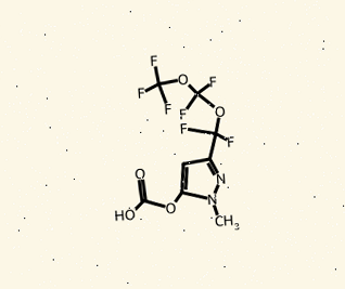 Cn1nc(C(F)(F)OC(F)(F)OC(F)(F)F)cc1OC(=O)O